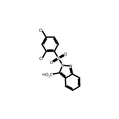 O=C(O)c1c2ccccc2nn1S(=O)(=O)c1ccc(Cl)cc1Cl